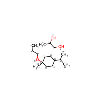 CC(O)CO.CCCOC1(C)CCC(C(C)C)CC1